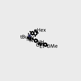 CCCCCCN1c2cc(C)c(/N=C3/C(C(C)(C)C)=Nn4nc(-c5ccc(NC(=O)C(CC)Oc6ccc(OC)cc6)cc5)nc43)cc2C(C)CC1(C)C